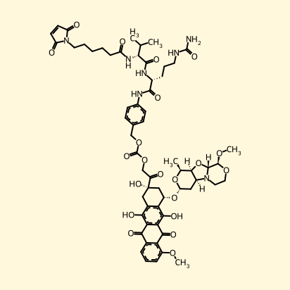 COc1cccc2c1C(=O)c1c(O)c3c(c(O)c1C2=O)C[C@@](O)(C(=O)COC(=O)OCc1ccc(NC(=O)[C@@H](CCCNC(N)=O)NC(=O)[C@H](NC(=O)CCCCCN2C(=O)C=CC2=O)C(C)C)cc1)C[C@@H]3O[C@H]1C[C@H]2[C@H](O[C@@H]3[C@@H](OC)OCCN32)[C@H](C)O1